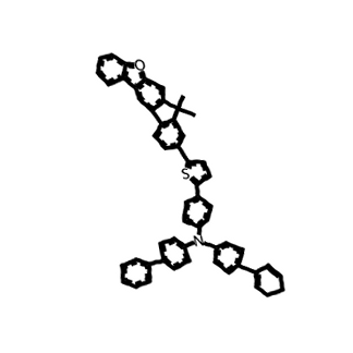 CC1(C)c2cc(-c3ccc(-c4ccc(N(c5ccc(C6=CCCC=C6)cc5)c5ccc(-c6ccccc6)cc5)cc4)s3)ccc2-c2cc3c(cc21)oc1ccccc13